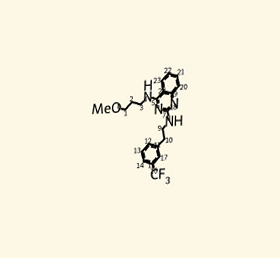 COCCCNc1nc(NCCc2cccc(C(F)(F)F)c2)nc2ccccc12